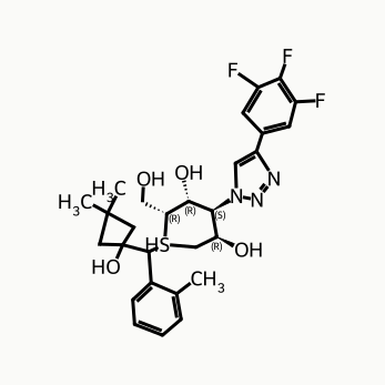 Cc1ccccc1C([SH]1C[C@H](O)[C@H](n2cc(-c3cc(F)c(F)c(F)c3)nn2)[C@@H](O)[C@H]1CO)C1(O)CC(C)(C)C1